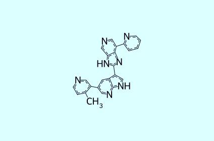 Cc1ccncc1-c1cnc2[nH]cc(-c3nc4c(-c5ccccn5)cncc4[nH]3)c2c1